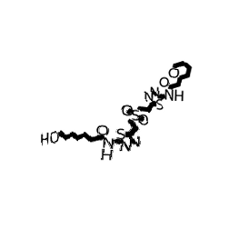 O=C(CCCCCCO)Nc1nnc(CCS(=O)(=O)CCc2nnc(NC(=O)CC3CCCCO3)s2)s1